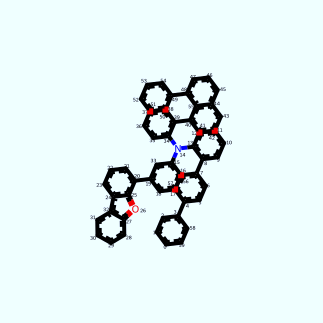 c1ccc(-c2ccc(-c3ccccc3N(c3cccc(-c4cccc5c4oc4ccccc45)c3)c3ccccc3-c3cccc4cccc(-c5ccccc5)c34)cc2)cc1